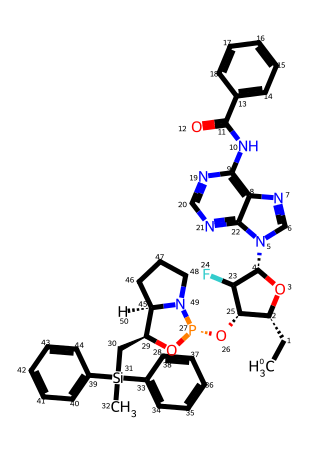 CC[C@H]1O[C@@H](n2cnc3c(NC(=O)c4ccccc4)ncnc32)C(F)[C@H]1O[P@]1O[C@@H](C[Si](C)(c2ccccc2)c2ccccc2)[C@H]2CCCN21